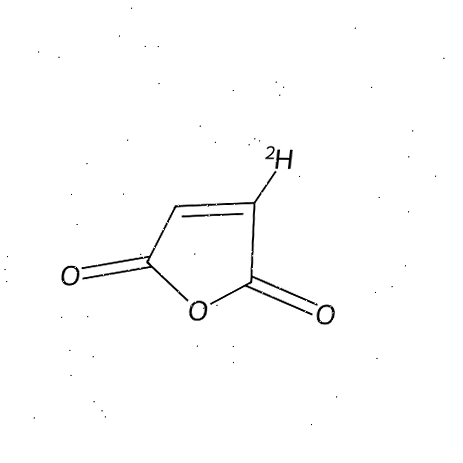 [2H]C1=CC(=O)OC1=O